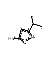 CC(C)c1cc(S)on1